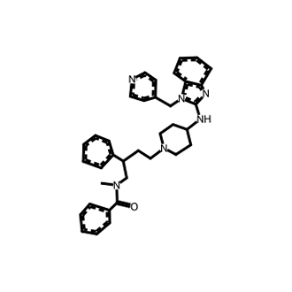 CN(CC(CCN1CCC(Nc2nc3ccccc3n2Cc2ccncc2)CC1)c1ccccc1)C(=O)c1ccccc1